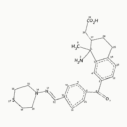 CC1(N)c2cc(C(=O)c3ccc(C=NN4CCSCC4)cc3)ccc2CCC1CC(=O)O